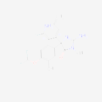 C=C/C=C(\C=C(/N)F)C1(c2ccc(OC(F)F)c(C)c2)N=C(N)N(C)C1=O